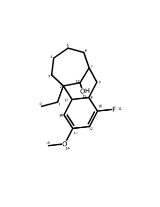 CCC12CCCCC(CC3C(F)=CC(OC)=CC31)C2O